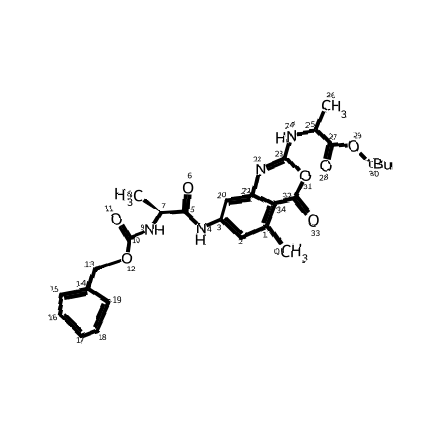 Cc1cc(NC(=O)[C@H](C)NC(=O)OCc2ccccc2)cc2nc(NC(C)C(=O)OC(C)(C)C)oc(=O)c12